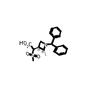 C[C@@H]1[C@@H](C(C(=O)O)S(C)(=O)=O)CN1C(c1ccccc1)c1ccccc1